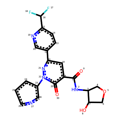 O=C(NC1COCC1O)c1cc(-c2ccc(C(F)F)nc2)nn(-c2cccnc2)c1=O